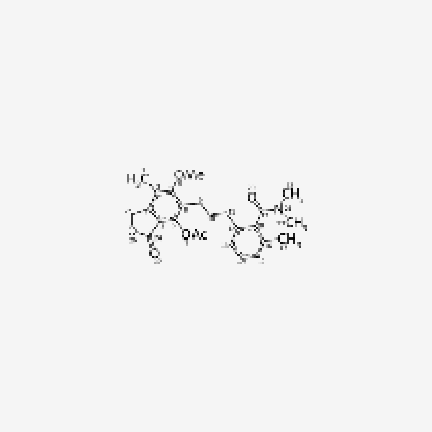 COc1c(C)c2c(c(OC(C)=O)c1CC=Cc1cccc(C)c1C(=O)N(C)C)C(=O)OC2